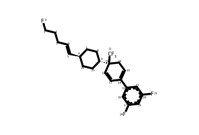 FCCCC=C[C@H]1CC[C@H](C2(C(F)(F)F)C=CC(c3cc(F)cc(F)c3)=CC2)CC1